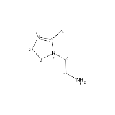 CC1=NCCN1CCN